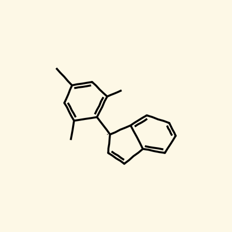 Cc1cc(C)c([C]2C=Cc3ccccc32)c(C)c1